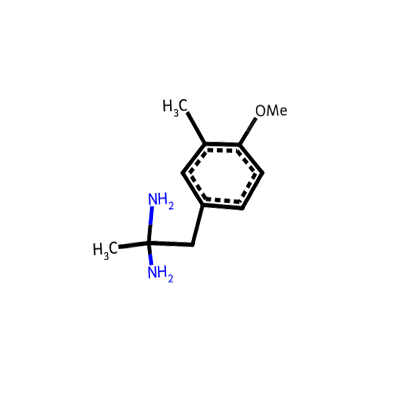 COc1ccc(CC(C)(N)N)cc1C